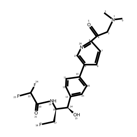 CN(C)CC(=O)c1ccc(-c2ccc([C@@H](O)[C@@H](CF)NC(=O)C(F)F)cc2)cn1